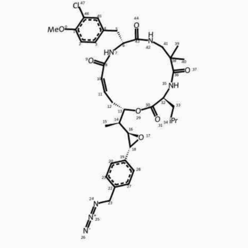 COc1ccc(C[C@H]2NC(=O)C=CC[C@@H]([C@H](C)[C@H]3O[C@@H]3c3ccc(CN=[N+]=[N-])cc3)OC(=O)[C@H](CC(C)C)NC(=O)C(C)(C)CNC2=O)cc1Cl